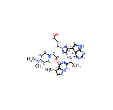 Cc1ccn2nc(C(C)Nc3ncnc4[nH]cc(-c5cnn(CCCO)c5)c34)nc(OCCN3CCC(N(C)C)CC3)c12